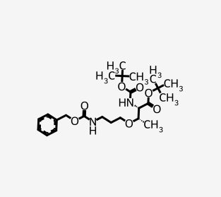 C[C@H](OCCCNC(=O)OCc1ccccc1)[C@H](NC(=O)OC(C)(C)C)C(=O)OC(C)(C)C